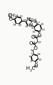 COc1ccc(COC(=O)CC(=O)Oc2ccc3sc4nc(-c5ccc(OC)cc5)cn4c3c2)cc1